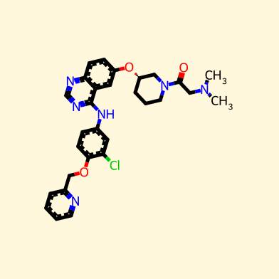 CN(C)CC(=O)N1CCC[C@H](Oc2ccc3ncnc(Nc4ccc(OCc5ccccn5)c(Cl)c4)c3c2)C1